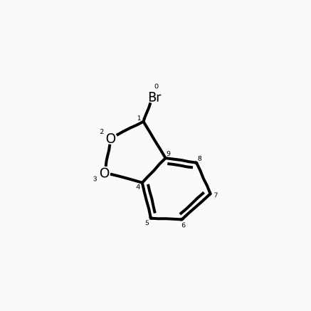 Br[C]1OOc2ccccc21